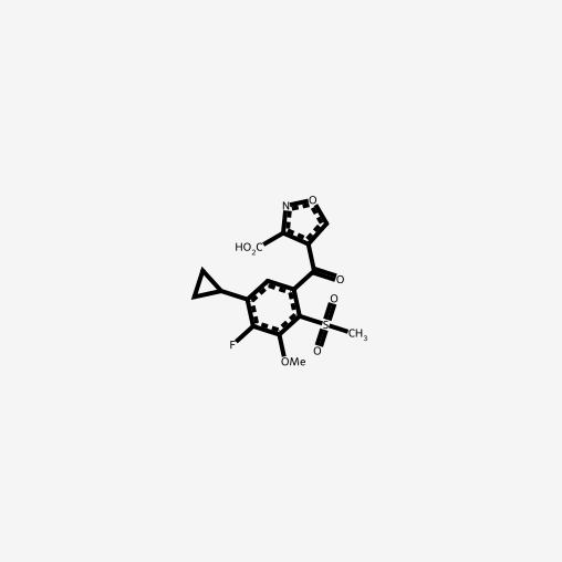 COc1c(F)c(C2CC2)cc(C(=O)c2conc2C(=O)O)c1S(C)(=O)=O